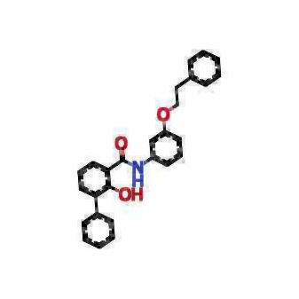 O=C(Nc1cccc(OCCc2ccccc2)c1)c1cccc(-c2ccccc2)c1O